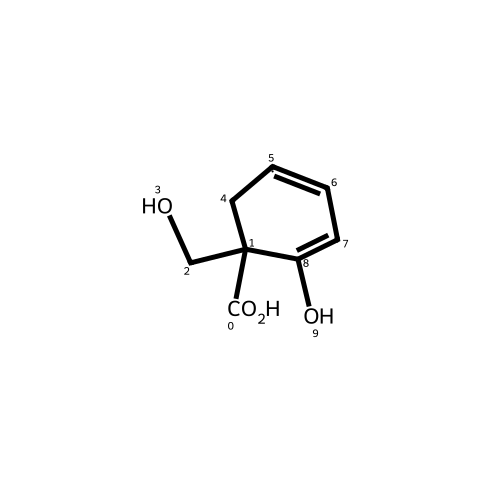 O=C(O)C1(CO)C[C]=CC=C1O